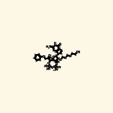 CC(C)[Si]1(C(C)C)OC(C(=O)COc2ccccc2)[C@H]2O[C@@H](n3cnc4c(=O)[nH]c(N)nc43)[C@H](OCOCOCCC#N)[C@@H]2O[Si](C(C)C)(C(C)C)O1